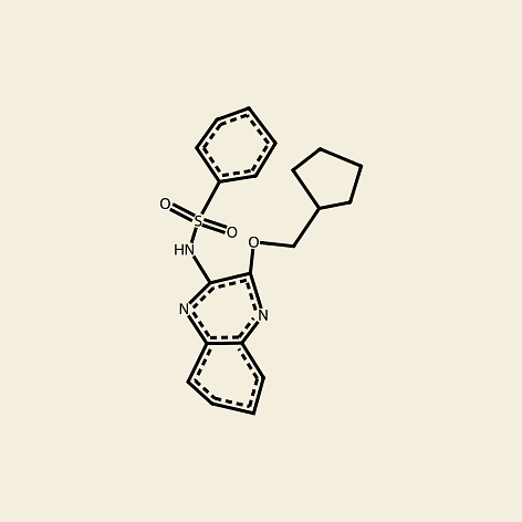 O=S(=O)(Nc1nc2ccccc2nc1OCC1CCCC1)c1ccccc1